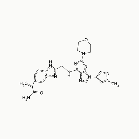 C=C(C(N)=O)c1ccc2[nH]c(CNc3nc(N4CCOCC4)nc4c3ncn4-c3cnn(C)c3)nc2c1